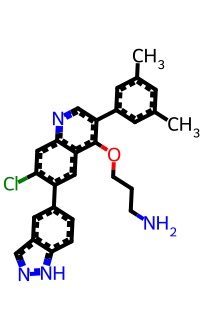 Cc1cc(C)cc(-c2cnc3cc(Cl)c(-c4ccc5[nH]ncc5c4)cc3c2OCCCN)c1